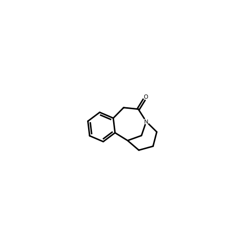 O=C1Cc2ccccc2C2CCCN1C2